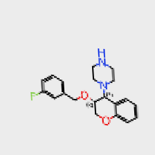 Fc1cccc(CO[C@H]2COc3ccccc3[C@@H]2N2CCNCC2)c1